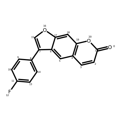 O=c1ccc2cc3c(-c4ccc(F)cc4)coc3cc2o1